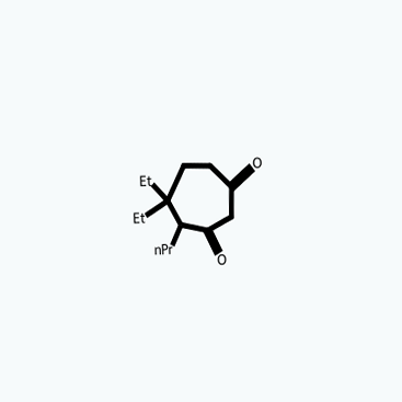 CCCC1C(=O)CC(=O)CCC1(CC)CC